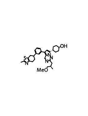 COC[C@H](C)Cc1ncc2c(-c3cccc(C4CCc5nc(C)sc5C4)c3)cc([C@H]3CC[C@H](O)CC3)n2n1